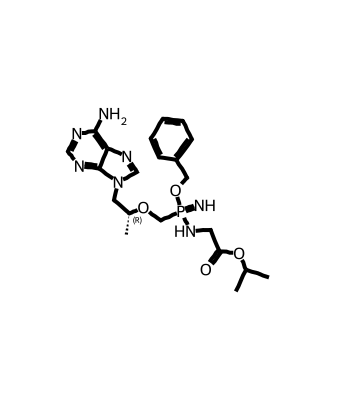 CC(C)OC(=O)CNP(=N)(CO[C@H](C)Cn1cnc2c(N)ncnc21)OCc1ccccc1